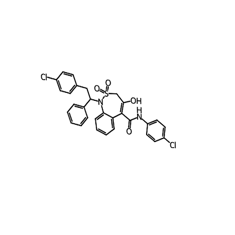 O=C(Nc1ccc(Cl)cc1)C1=C(O)CS(=O)(=O)N(C(Cc2ccc(Cl)cc2)c2ccccc2)c2ccccc21